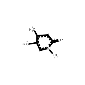 Cc1cc(=O)n(C)cc1OCC(C)C